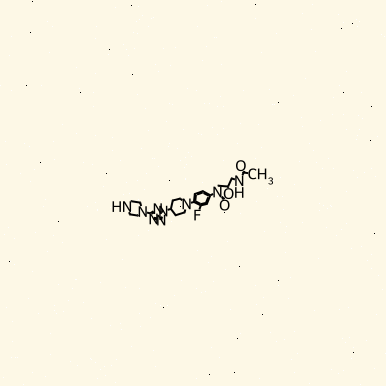 CC(=O)NCC1CN(c2ccc(N3CCC(n4nnc(N5CCNCC5)n4)CC3)c(F)c2)C(=O)O1